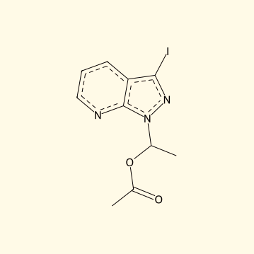 CC(=O)OC(C)n1nc(I)c2cccnc21